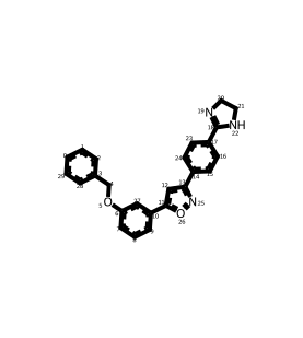 c1ccc(COc2cccc(-c3cc(-c4ccc(C5=NCCN5)cc4)no3)c2)cc1